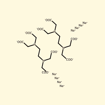 O=C([O-])CN(CCN(CC(=O)[O-])CC(=O)[O-])CC(=O)[O-].O=C([O-])CN(CCN(CC(=O)[O-])CC(=O)[O-])CC(=O)[O-].[Na+].[Na+].[Na+].[Na+].[Na+].[Na+].[Na+].[Na+]